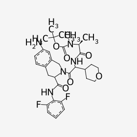 C[C@@H](C(=O)NC(C(=O)N1Cc2cc(N)ccc2CC1C(=O)Nc1c(F)cccc1F)C1CCOCC1)N(C)C(=O)OC(C)(C)C